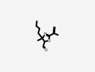 C=C(C)C1=NC(C)(CCCC)C(C=O)O1